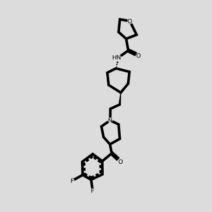 O=C(N[C@H]1CC[C@H](CCN2CCC(C(=O)c3ccc(F)c(F)c3)CC2)CC1)C1CCOC1